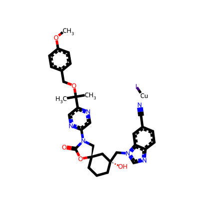 COc1ccc(COC(C)(C)c2cnc(N3C[C@@]4(CCC[C@](O)(Cn5cnc6ccc(C#N)cc65)C4)OC3=O)cn2)cc1.[Cu][I]